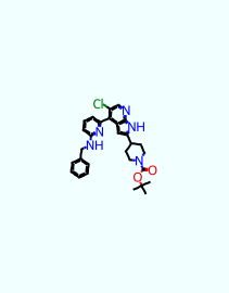 CC(C)(C)OC(=O)N1CCC(c2cc3c(-c4cccc(NCc5ccccc5)n4)c(Cl)cnc3[nH]2)CC1